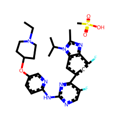 CCN1CCC(Oc2ccc(Nc3ncc(F)c(-c4cc(F)c5nc(C)n(C(C)C)c5c4)n3)nc2)CC1.CS(=O)(=O)O